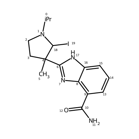 CC(C)N1CCC(C)(c2nc3c(C(N)=O)cccc3[nH]2)C1I